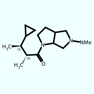 CNN1CC2CCN(C(=O)[C@H](C)[C@@H](C)C3CC3)C2C1